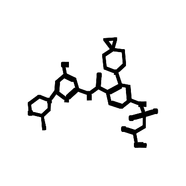 COC(=O)CS(=O)(=O)Nc1ccc(C(=O)Nc2cc(C#N)cc(N3CCO[C@H](C)C3)n2)c(N2CCC3(CC2)CC3)c1